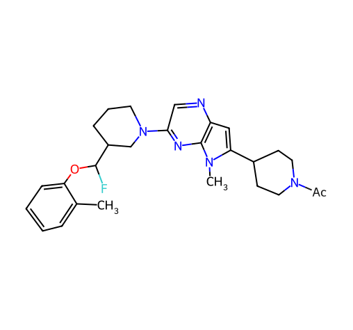 CC(=O)N1CCC(c2cc3ncc(N4CCCC(C(F)Oc5ccccc5C)C4)nc3n2C)CC1